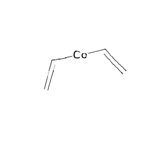 C=[CH][Co][CH]=C